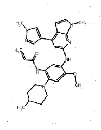 C=CC(=O)Nc1cc(Nc2nc(-c3cnn(C)c3)c3ccn(C)c3n2)c(OC)cc1N1CCN(C)CC1